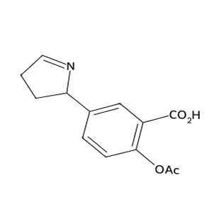 CC(=O)Oc1ccc(C2CCC=N2)cc1C(=O)O